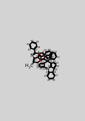 C\C1=C(c2ccc3c(c2)C2(c4ccccc4-3)c3ccccc3-n3c4ccccc4c4cccc2c43)/N=C(c2ccccc2)\C=C(\c2ccccc2)CC1